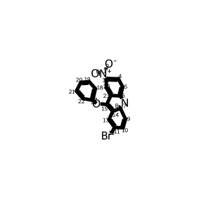 O=[N+]([O-])c1ccc2nc3ccc(Br)cc3c(Oc3ccccc3)c2c1